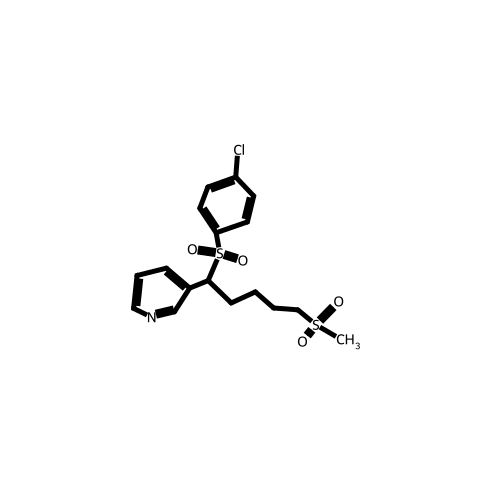 CS(=O)(=O)CCCCC(c1cccnc1)S(=O)(=O)c1ccc(Cl)cc1